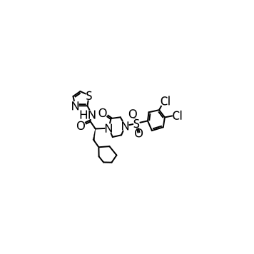 O=C(Nc1nccs1)[C@H](CC1CCCCC1)N1CCN(S(=O)(=O)c2ccc(Cl)c(Cl)c2)CC1=O